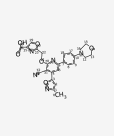 Cc1cc(-c2cc(-c3ccc(N4CCOCC4)cc3)nc(OCc3nc(C(=O)O)co3)c2C#N)on1